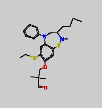 CCCCC1CN(c2ccccc2)c2cc(SCC)c(OCC(C)(C)C=O)cc2SN1C